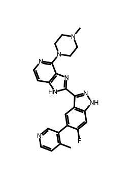 Cc1ccncc1-c1cc2c(-c3nc4c(N5CCN(C)CC5)nccc4[nH]3)n[nH]c2cc1F